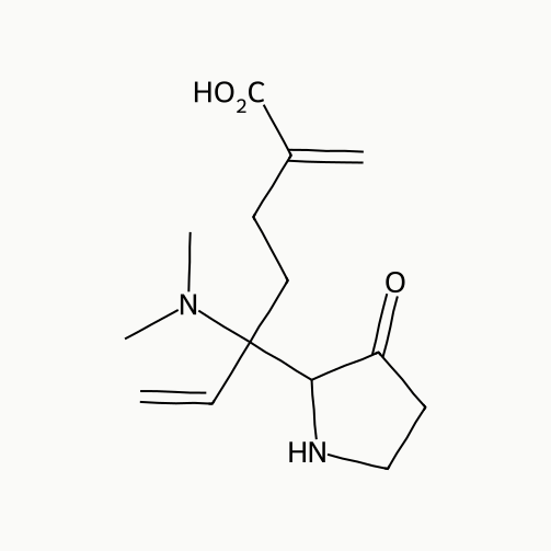 C=CC(CCC(=C)C(=O)O)(C1NCCC1=O)N(C)C